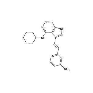 O=[N+]([O-])c1cccc(C=Cc2n[nH]c3ccnc(NC4CCCCC4)c23)c1